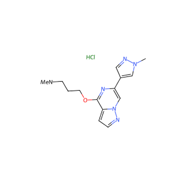 CNCCCOc1nc(-c2cnn(C)c2)cn2nccc12.Cl